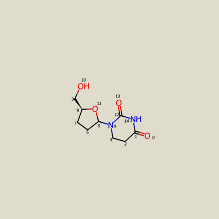 O=C1CCN(C2CC[C@@H](CO)O2)C(=O)N1